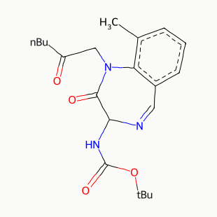 CCCCC(=O)CN1C(=O)C(NC(=O)OC(C)(C)C)N=Cc2cccc(C)c21